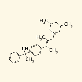 C/C(CN1CC(C)CC(C)C1)=C(/C)c1ccc(C(C)(C)c2ccccc2)cc1